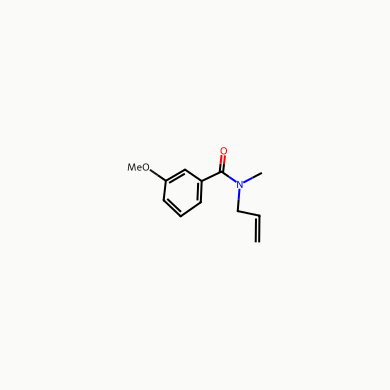 C=CCN(C)C(=O)c1cccc(OC)c1